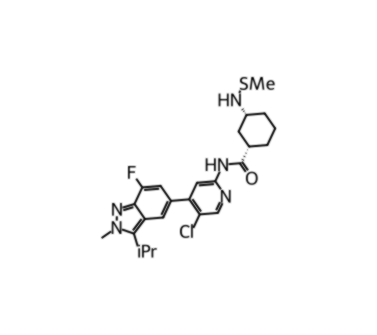 CSN[C@@H]1CCC[C@H](C(=O)Nc2cc(-c3cc(F)c4nn(C)c(C(C)C)c4c3)c(Cl)cn2)C1